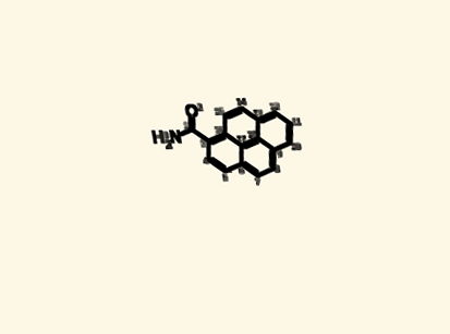 NC(=O)c1c[c]c2ccc3cccc4ccc1c2c34